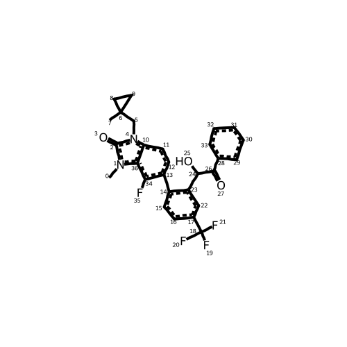 Cn1c(=O)n(CC2(C)CC2)c2ccc(-c3ccc(C(F)(F)F)cc3C(O)C(=O)c3ccccc3)c(F)c21